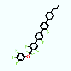 C/C=C/C1CCC(c2ccc(-c3ccc(-c4cc(F)c(C(F)(F)Oc5cc(F)c(F)c(F)c5)c(F)c4)c(F)c3)c(F)c2)CC1